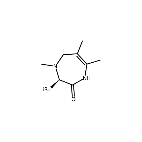 CCC(C)[C@@H]1C(=O)NC(C)=C(C)CN1C